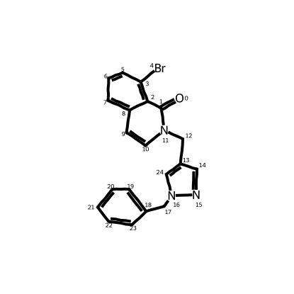 O=c1c2c(Br)cccc2ccn1Cc1cnn(Cc2ccccc2)c1